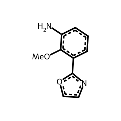 COc1c(N)cccc1-c1ncco1